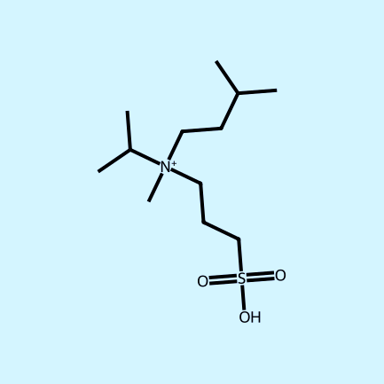 CC(C)CC[N+](C)(CCCS(=O)(=O)O)C(C)C